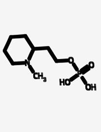 CN1CCCCC1CCOP(=O)(O)O